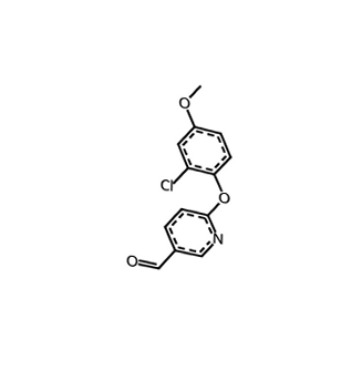 COc1ccc(Oc2ccc(C=O)cn2)c(Cl)c1